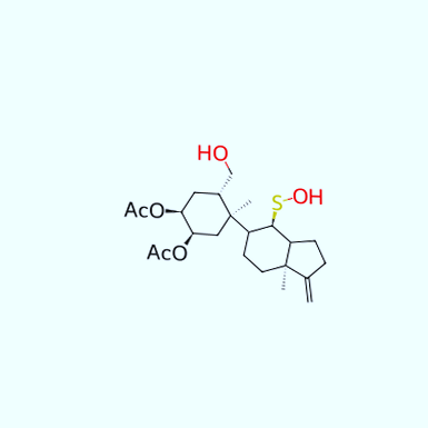 C=C1CCC2[C@H](SO)C([C@@]3(C)C[C@@H](OC(C)=O)[C@@H](OC(C)=O)C[C@@H]3CO)CC[C@]12C